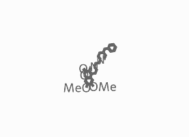 COc1cc2oc(=O)c3c(c2cc1OC)CCN(CCN1CCC(Cc2ccccc2)CC1)C3